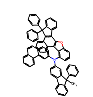 CC1(c2ccccc2)c2ccccc2-c2ccc(N(c3ccc4ccc5ccccc5c4c3)c3cccc4oc5c6c(c7ccccc7c5c34)C(c3ccccc3)(c3ccccc3)c3ccccc3-6)cc21